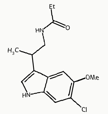 CCC(=O)NCC(C)c1c[nH]c2cc(Cl)c(OC)cc12